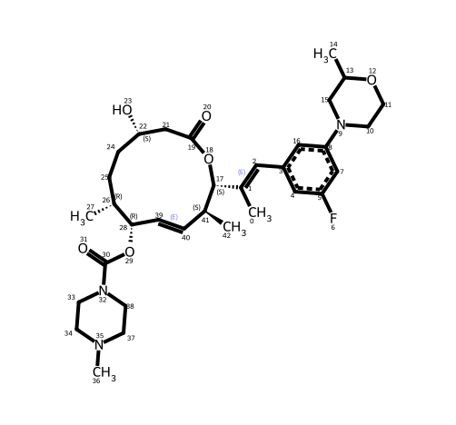 C/C(=C\c1cc(F)cc(N2CCOC(C)C2)c1)[C@H]1OC(=O)C[C@@H](O)CC[C@@H](C)[C@@H](OC(=O)N2CCN(C)CC2)/C=C/[C@@H]1C